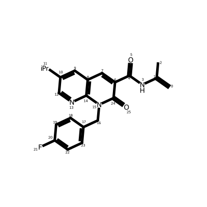 C=C(C)NC(=O)c1cc2cc(C(C)C)cnc2n(Cc2ccc(F)cc2)c1=O